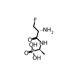 C[C@H](NC(=O)[C@@H](N)CF)P(=O)(O)O